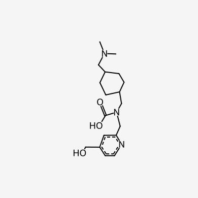 CN(C)CC1CCC(CN(Cc2cc(CO)ccn2)C(=O)O)CC1